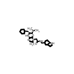 Cc1cnc(N[C@@H](Cc2ccccc2)CN(C)C)c(=O)n1CC(=O)NCc1ccc2[nH]ccc2c1